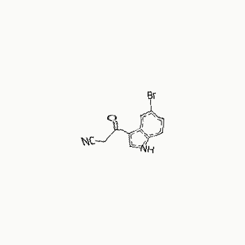 N#CCC(=O)c1c[nH]c2ccc(Br)cc12